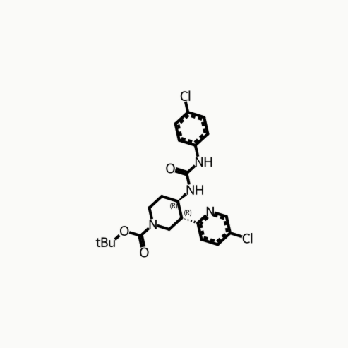 CC(C)(C)OC(=O)N1CC[C@@H](NC(=O)Nc2ccc(Cl)cc2)[C@H](c2ccc(Cl)cn2)C1